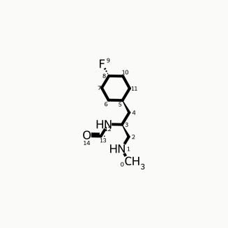 CNC[C@H](C[C@H]1CC[C@H](F)CC1)N[C]=O